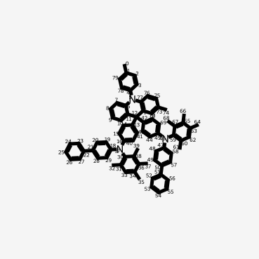 Cc1ccc(N2c3ccccc3C(c3ccc(N(c4ccc(-c5ccccc5)cc4)c4c(C)cc(C)c(C)c4C)cc3)(c3ccc(N(c4ccc(-c5ccccc5)cc4)c4c(C)cc(C)c(C)c4C)cc3)c3cc(C)ccc32)cc1